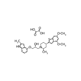 COc1cc(OC)c2cc([C@@H]3CCN(C[C@H](O)COc4cccc5[nH]c(C)cc45)[C@H](C)C3)sc2c1.O=C(O)C(=O)O